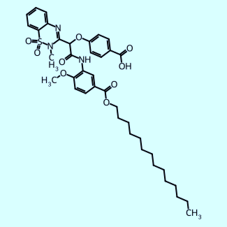 CCCCCCCCCCCCCCOC(=O)c1ccc(OC)c(NC(=O)C(Oc2ccc(C(=O)O)cc2)C2=Nc3ccccc3S(=O)(=O)N2C)c1